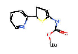 CC(C)(C)OC(=O)NC1=CCC(c2ccccn2)S1